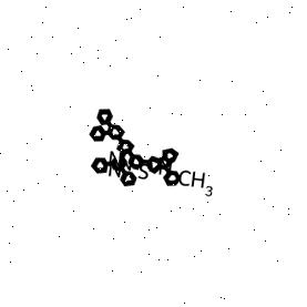 CC1C=CC=C(n2c3ccccc3c3cc4c(cc32)sc2ccc(-c3ccc(-c5ccc(-c6ccccc6)c(-c6ccccc6)c5)cc3-c3nc(-c5ccccc5)nc(-c5ccccc5)n3)cc24)C1